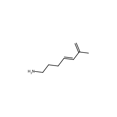 C=C(C)/C=C/CCCN